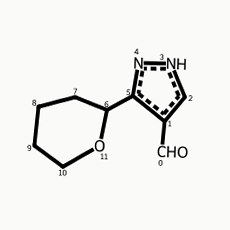 O=Cc1c[nH]nc1C1CCCCO1